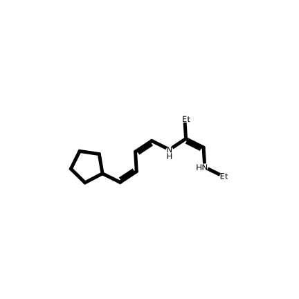 CCN/C=C(/CC)N/C=C\C=C/C1CCCC1